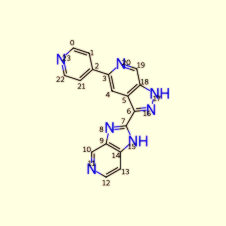 c1cc(-c2cc3c(-c4nc5cnccc5[nH]4)n[nH]c3cn2)ccn1